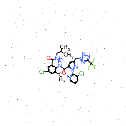 Cc1cc(Cl)cc(C(=O)NCC(C)C)c1NC(=O)c1cc(Cn2nnc(C(F)(F)F)n2)nn1-c1ncccc1Cl